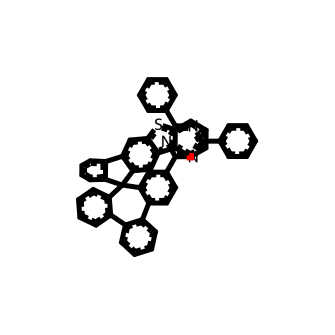 c1ccc(-c2nc(-c3ccccc3)nc(-c3ccc4c(c3)C3(c5ccccc5-c5ccccc5-4)c4ccccc4-c4cc5sc6ccccc6c5cc43)n2)cc1